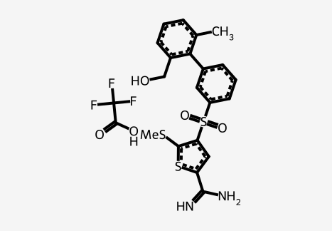 CSc1sc(C(=N)N)cc1S(=O)(=O)c1cccc(-c2c(C)cccc2CO)c1.O=C(O)C(F)(F)F